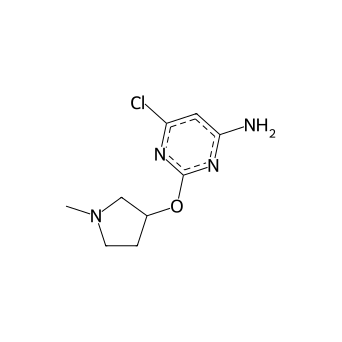 CN1CCC(Oc2nc(N)cc(Cl)n2)C1